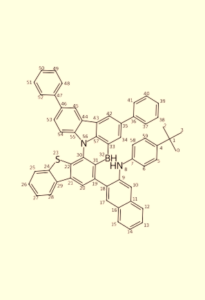 CC(C)(C)c1ccc(Nc2cc3ccccc3cc2-c2cc3c(sc4ccccc43)c3c2Bc2cc(-c4ccccc4)cc4c5cc(-c6ccccc6)ccc5n-3c24)cc1